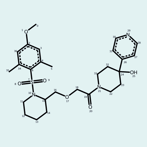 COc1cc(C)c(S(=O)(=O)N2CCCCC2COCC(=O)N2CCC(O)(c3ccncc3)CC2)c(C)c1